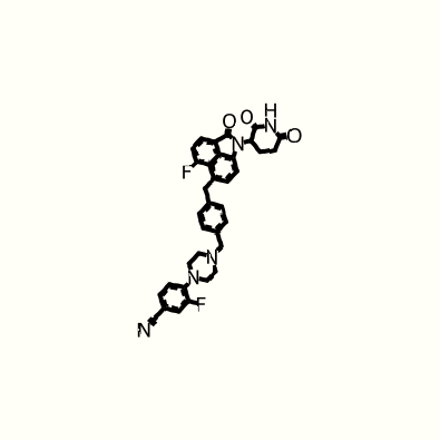 N#Cc1ccc(N2CCN(Cc3ccc(Cc4ccc5c6c(ccc(F)c46)C(=O)N5C4CCC(=O)NC4=O)cc3)CC2)c(F)c1